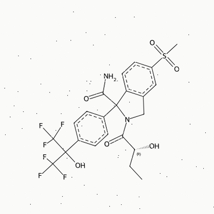 CC[C@@H](O)C(=O)N1Cc2cc(S(C)(=O)=O)ccc2C1(C(N)=O)c1ccc(C(O)(C(F)(F)F)C(F)(F)F)cc1